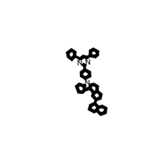 c1ccc(-c2cc(-c3ccccc3)nc(-c3ccc(-n4c5ccccc5c5c6cc(-c7cccc8ccccc78)ccc6ccc54)cc3)n2)cc1